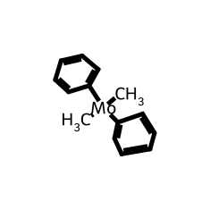 [CH3][Mo]([CH3])([c]1ccccc1)[c]1ccccc1